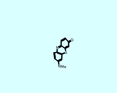 CNc1ccc2nc3ccc(=O)cc-3sc2c1